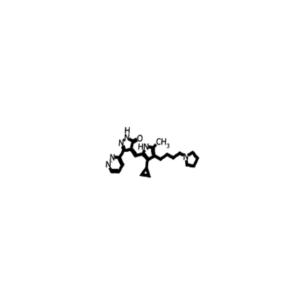 Cc1[nH]c(C=C2C(=O)NN=C2c2cccnn2)c(C2CC2)c1CCCCN1CCCC1